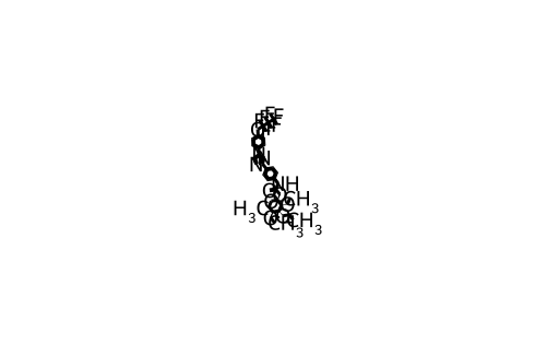 CCO[C@@H]1[C@@H](OC)[C@H](C)O[C@@H](OC(=O)Nc2ccc(-c3ncn(-c4ccc(OC(F)(F)C(F)(F)C(F)(F)F)cc4)n3)cc2)[C@@H]1OC